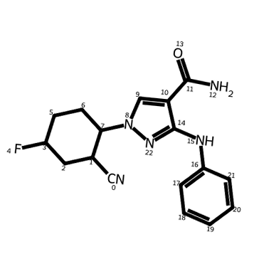 N#CC1CC(F)CCC1n1cc(C(N)=O)c(Nc2ccccc2)n1